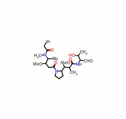 CCC(C)C(C(CC(=O)N1CCCC1C(OC)C(C)C(=O)NC(C=O)C(C)O)OC)N(C)C(=O)CC(C)C